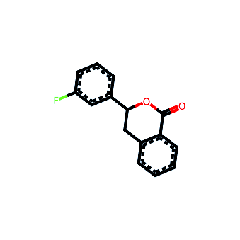 O=C1OC(c2cccc(F)c2)Cc2ccccc21